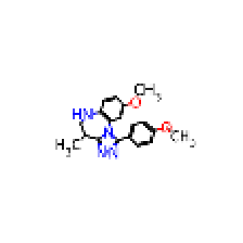 COc1ccc(-c2nnc3n2-c2cc(OC)ccc2NCC3C)cc1